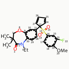 CCN1C(=O)C(C)(C)COc2cc(C3(S(=O)(=O)c4ccc(OC)c(F)c4)C=CC=C3)ccc21